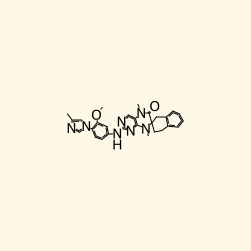 COc1cc(Nc2ncc3c(n2)N(C)C2(CCc4ccccc4C2)C(=O)N3C)ccc1-n1cnc(C)c1